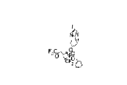 O=C(OCc1ccccc1)N1[C@H](C(F)(F)F)CC(CC(=O)C(F)(F)F)[C@@H]1COC1CCC2(c3ncc(F)cn3)CC2C1